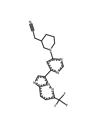 N#CCC1CCCN(c2cc(-c3cnc4ccc(C(F)(F)F)nn34)ncn2)C1